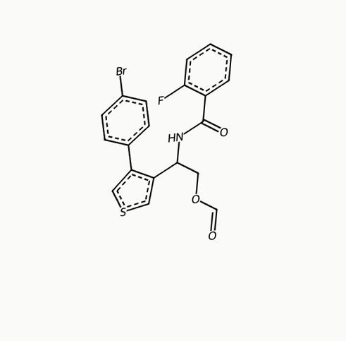 O=COCC(NC(=O)c1ccccc1F)c1cscc1-c1ccc(Br)cc1